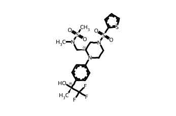 CN(C[C@H]1CN(S(=O)(=O)c2cccs2)CCN1c1ccc([C@@](C)(O)C(F)(F)F)cc1)S(C)(=O)=O